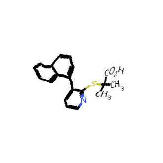 CC(C)(Sc1ncccc1-c1cccc2ccccc12)C(=O)O